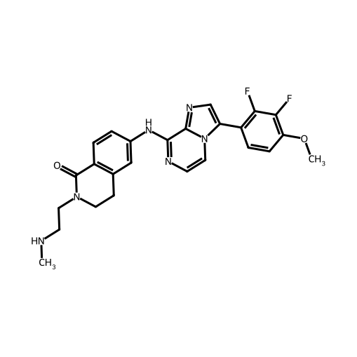 CNCCN1CCc2cc(Nc3nccn4c(-c5ccc(OC)c(F)c5F)cnc34)ccc2C1=O